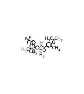 CCCC1(CCNC(=O)C2=CC(C)=C(OC(C)C)CC2)NC(C)(C)CN2C(C(F)(F)I)=CCC21